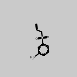 C=CCS(=O)(=O)c1cccc(N)c1